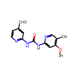 CC(C)Oc1cc(NC(=O)Nc2cc(C=O)ccn2)ncc1C#N